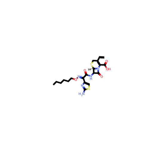 C=CC1=C(C(=O)O)N2C(=O)C(NC(=O)/C(=N/OCCCCCC)c3csc(N)n3)[C@H]2SC1